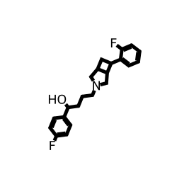 OC(CCCN1CC2CC(c3ccccc3F)C2C1)c1ccc(F)cc1